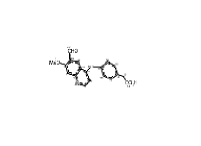 COc1cc2nccc(Oc3ccc(CC(=O)O)cc3)c2cc1C=O